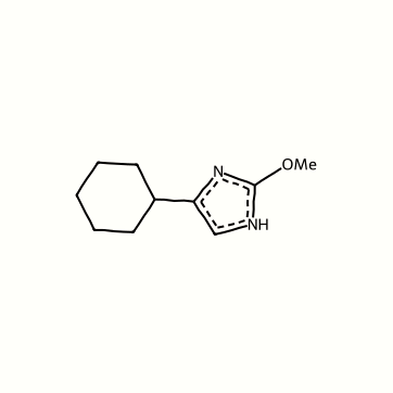 COc1nc(C2CCCCC2)c[nH]1